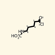 O=C(Cl)CCCCNC(=O)O